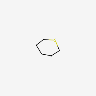 [C]1CCCSC1